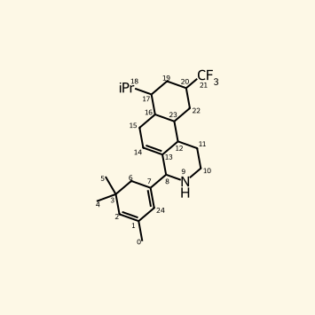 CC1=CC(C)(C)CC(C2NCCC3C2=CCC2C(C(C)C)CC(C(F)(F)F)CC32)=C1